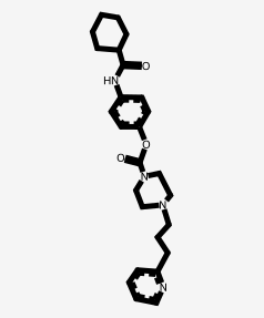 O=C(Nc1ccc(OC(=O)N2CCN(CCCc3ccccn3)CC2)cc1)C1CCCCC1